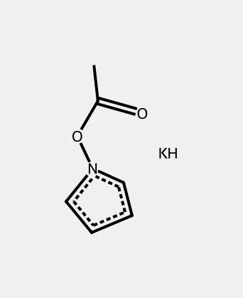 CC(=O)On1cccc1.[KH]